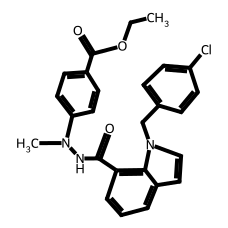 CCOC(=O)c1ccc(N(C)NC(=O)c2cccc3ccn(Cc4ccc(Cl)cc4)c23)cc1